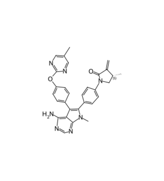 C=C1C(=O)N(c2ccc(-c3c(-c4ccc(Oc5ncc(C)cn5)cc4)c4c(N)ncnc4n3C)cc2)C[C@H]1C